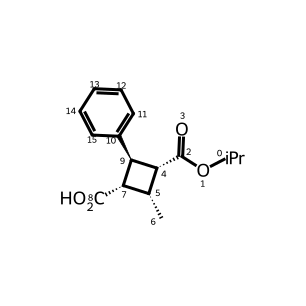 CC(C)OC(=O)[C@@H]1[C@H](C)[C@H](C(=O)O)[C@H]1c1ccccc1